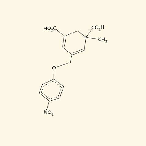 CC1(C(=O)O)C=C(COc2ccc([N+](=O)[O-])cc2)C=C(C(=O)O)C1